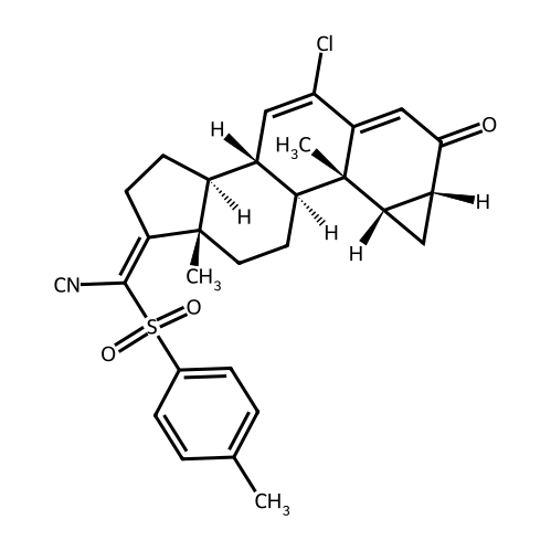 [C-]#[N+]/C(=C1\CC[C@H]2[C@@H]3C=C(Cl)C4=CC(=O)[C@@H]5C[C@@H]5[C@]4(C)[C@H]3CC[C@]12C)S(=O)(=O)c1ccc(C)cc1